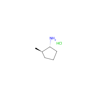 C[C@@H]1CCC[C@H]1N.Cl